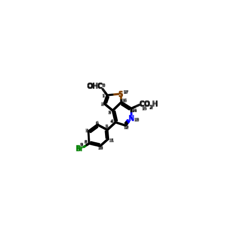 O=Cc1cc2c(-c3ccc(Br)cc3)cnc(C(=O)O)c2s1